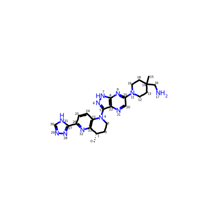 C[C@H]1CCN(c2n[nH]c3nc(N4CCC(C)(CN)CC4)cnc23)c2ccc(-c3nnc[nH]3)nc21